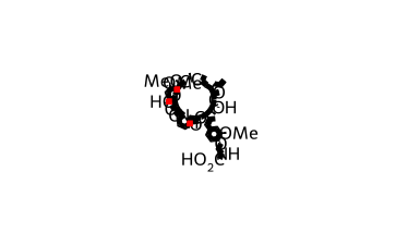 C=CC[C@@H]1/C=C(\C)C[C@H](C)C[C@H](OC)[C@H]2O[C@@](O)(C(=O)C(=O)N3CCCC[C@H]3C(=O)O[C@H](/C(C)=C/C3CC[C@@H](OCNC(=O)O)[C@H](OC)C3)[C@H](C)[C@@H](O)CC1=O)[C@H](C)C[C@@H]2OC